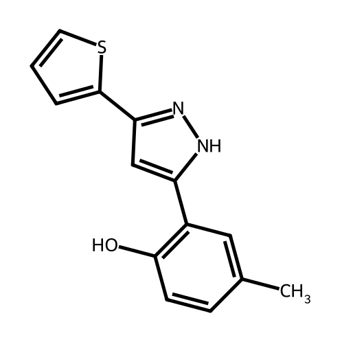 Cc1ccc(O)c(-c2cc(-c3cccs3)n[nH]2)c1